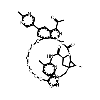 CC(=O)c1nn2c3c(cc(-c4cnc(C)nc4)cc13)CCCCCCCCc1cn(nn1)C[C@@]13C[C@@H](C(=O)Nc4nc(Br)ccc4C)N(C(=O)C2)C1[C@@H]3C